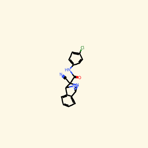 N#CC1(C(=O)Nc2ccc(Cl)cc2)N=C2NC1c1ccccc12